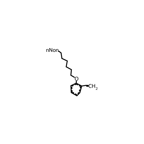 C=Cc1ccccc1OCCCCCCCCCCCCCCC